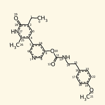 CCc1cc(-c2cncc(OC(=O)NCCc3ccc(OC)cc3)c2)c(C)[nH]c1=O